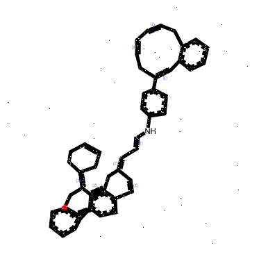 C1=CC/C(=C2/CCC=C/C2=C/CC(/C=C\c2ccc(-c3ccccc3)cc2)=C/C=C/Nc2ccc(/C3=C/c4ccccc4C/C=C\C=C/C3)cc2)CC1